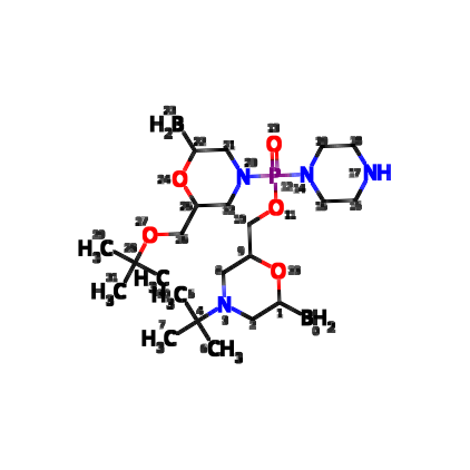 BC1CN(C(C)(C)C)CC(COP(=O)(N2CCNCC2)N2CC(B)OC(COC(C)(C)C)C2)O1